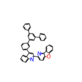 c1ccc(-c2cc(-c3ccccc3)cc(-c3cccc(-c4cc(-c5ccc6oc7ccccc7c6n5)nc5ccccc45)c3)c2)cc1